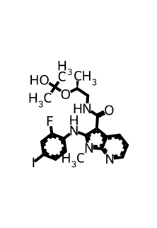 C[C@@H](CNC(=O)c1c(Nc2ccc(I)cc2F)n(C)c2ncccc12)OC(C)(C)O